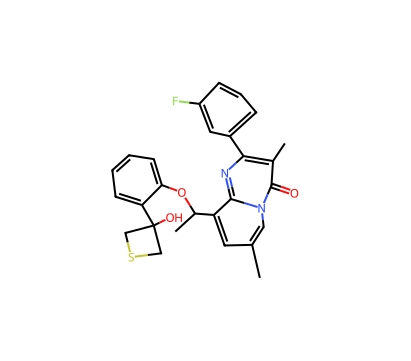 Cc1cc(C(C)Oc2ccccc2C2(O)CSC2)c2nc(-c3cccc(F)c3)c(C)c(=O)n2c1